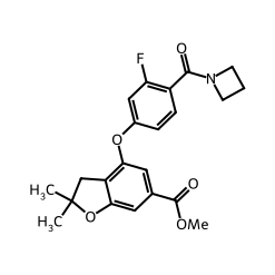 COC(=O)c1cc(Oc2ccc(C(=O)N3CCC3)c(F)c2)c2c(c1)OC(C)(C)C2